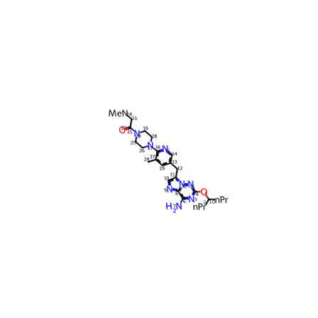 CCCC(CCC)Oc1nc(N)c2ncc(Cc3cnc(N4CCN(C(=O)CNC)CC4)c(C)c3)n2n1